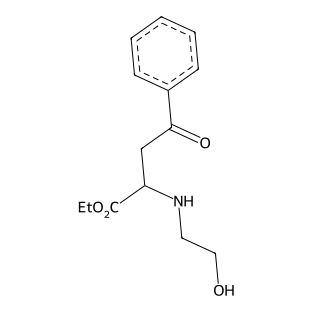 CCOC(=O)C(CC(=O)c1ccccc1)NCCO